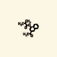 C=C(C)C(=O)Oc1cc(C(C)=O)cc2ccccc12